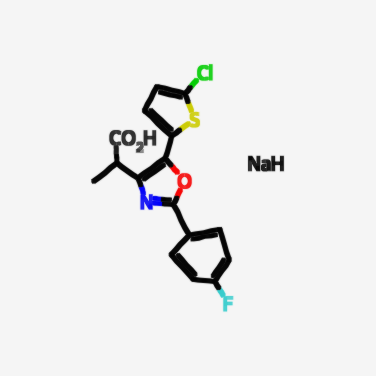 CC(C(=O)O)c1nc(-c2ccc(F)cc2)oc1-c1ccc(Cl)s1.[NaH]